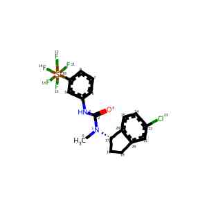 CN(C(=O)Nc1cccc(S(F)(F)(F)(F)F)c1)[C@H]1CCc2cc(Cl)ccc21